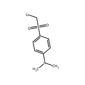 [Li][CH2]S(=O)(=O)c1ccc(N(C)C)cc1